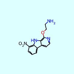 NCCOc1nccc2c1[nH]c1c([N+](=O)[O-])cccc12